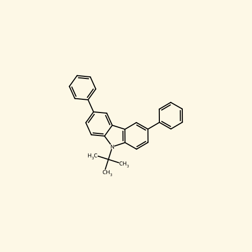 CC(C)(C)n1c2ccc(-c3ccccc3)cc2c2cc(-c3ccccc3)ccc21